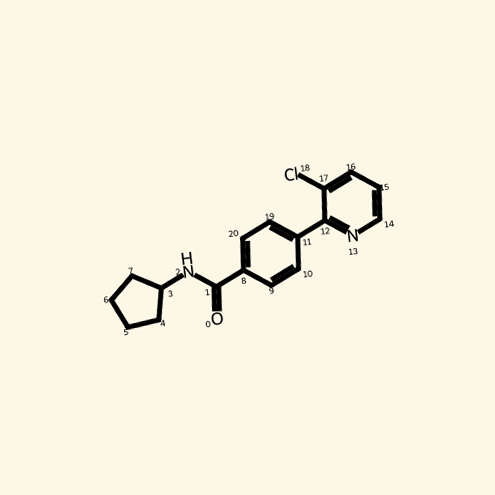 O=C(NC1CCCC1)c1ccc(-c2ncccc2Cl)cc1